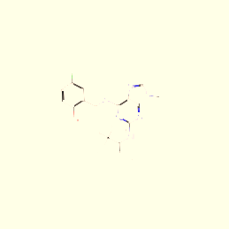 CCn1cnc2c(NCc3cc(Cl)ccc3O)nc(NC(C)C(C)(C)O)nc21